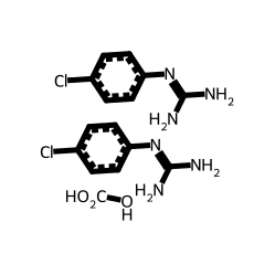 NC(N)=Nc1ccc(Cl)cc1.NC(N)=Nc1ccc(Cl)cc1.O=C(O)O